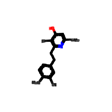 CCc1c(O)cc(OC)nc1CCc1ccc(OC)c(C#N)c1